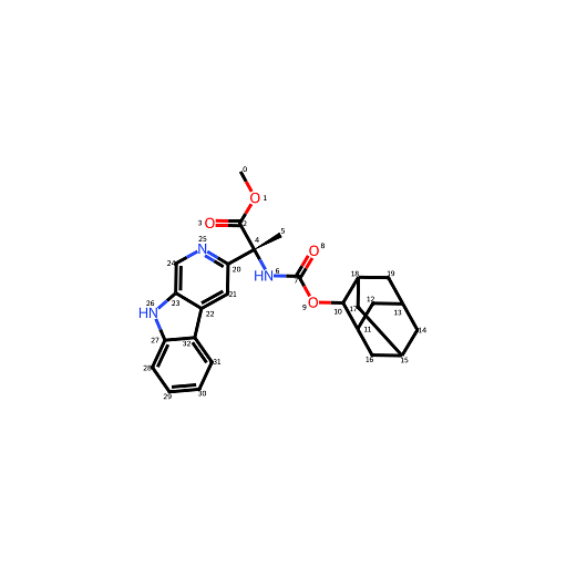 COC(=O)[C@](C)(NC(=O)OC1C2CC3CC(C2)CC1C3)c1cc2c(cn1)[nH]c1ccccc12